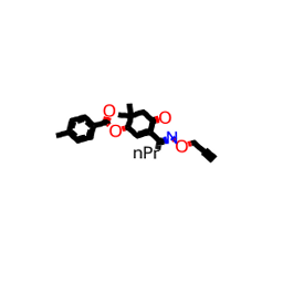 C#CCON=C(CCC)C1=CC(OC(=O)c2ccc(C)cc2)C(C)(C)CC1=O